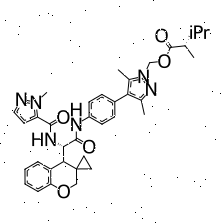 Cc1nn(COC(=O)[C@@H](C)C(C)C)c(C)c1-c1ccc(NC(=O)[C@@H](NC(=O)c2ccnn2C)C2c3ccccc3OCC23CC3)cc1